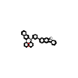 c1ccc(-c2cc3ccccc3cc2N(c2ccccc2)c2cccc(-c3ccc4cc5c(cc4c3)oc3ccccc35)c2)cc1